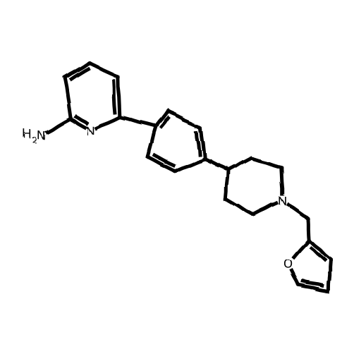 Nc1cccc(-c2ccc(C3CCN(Cc4ccco4)CC3)cc2)n1